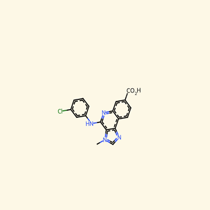 Cn1cnc2c3ccc(C(=O)O)cc3nc(Nc3cccc(Cl)c3)c21